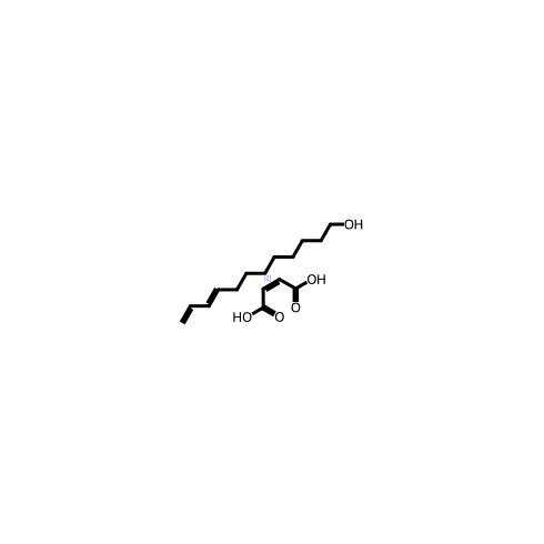 C=CC=CCCCCCCCCO.O=C(O)/C=C\C(=O)O